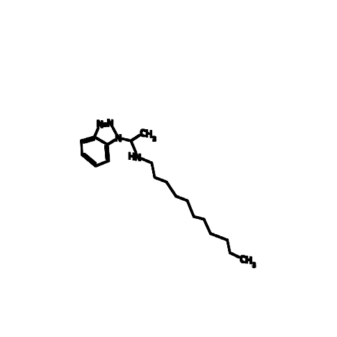 CCCCCCCCCCCNC(C)n1nnc2ccccc21